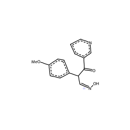 COc1ccc(C(/C=N\O)C(=O)c2cccnc2)cc1